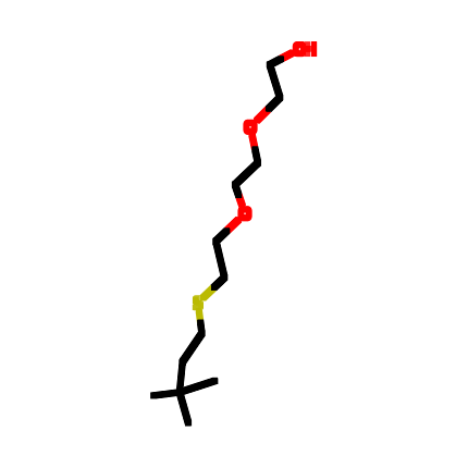 CC(C)(C)CCSCCOCCOCCO